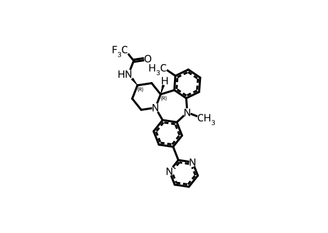 Cc1cccc2c1[C@H]1C[C@H](NC(=O)C(F)(F)F)CCN1c1ccc(-c3ncccn3)cc1N2C